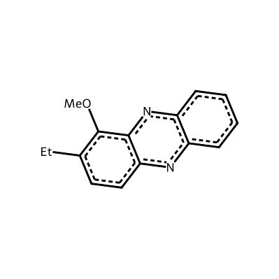 CCc1ccc2nc3ccccc3nc2c1OC